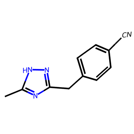 Cc1nc(Cc2ccc(C#N)cc2)n[nH]1